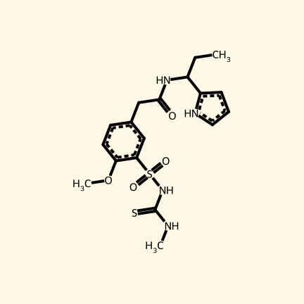 CCC(NC(=O)Cc1ccc(OC)c(S(=O)(=O)NC(=S)NC)c1)c1ccc[nH]1